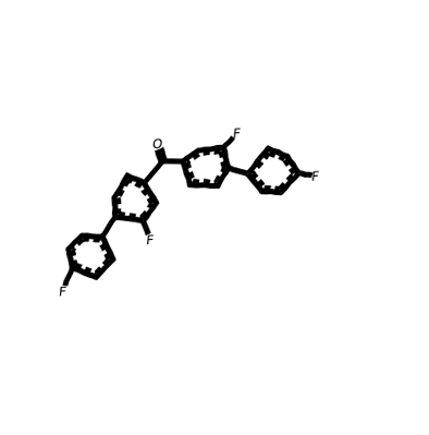 O=C(c1ccc(-c2ccc(F)cc2)c(F)c1)c1ccc(-c2ccc(F)cc2)c(F)c1